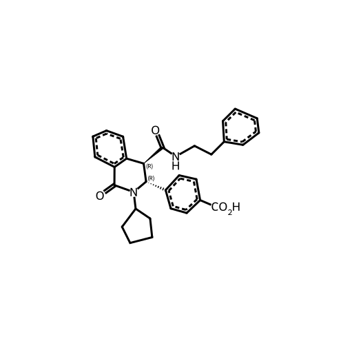 O=C(O)c1ccc([C@H]2[C@H](C(=O)NCCc3ccccc3)c3ccccc3C(=O)N2C2CCCC2)cc1